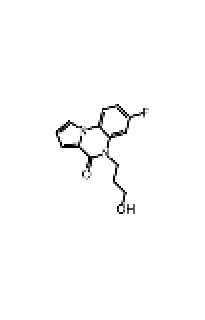 O=c1c2cccn2c2ccc(F)cc2n1CCCO